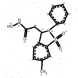 Cc1ccc2c(c1)S(=O)(=O)N(c1ccccc1)C2CC(=O)NO